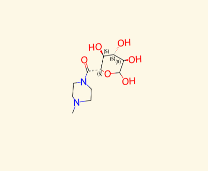 CN1CCN(C(=O)[C@H]2OC(O)[C@H](O)[C@@H](O)[C@@H]2O)CC1